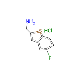 Cl.NCc1cc2cc(F)ccc2s1